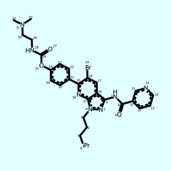 CC(C)CCCn1nc(NC(=O)c2cccnc2)c2cc(Br)c(-c3ccc(OC(=O)NCCN(C)C)cc3)nc21